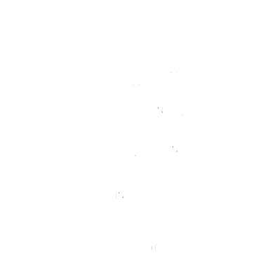 CN(CC(N)C(=O)CNC(=O)OC(C)(C)C)C(=O)OCc1ccccc1